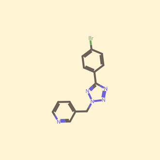 Brc1ccc(-c2nnn(Cc3cccnc3)n2)cc1